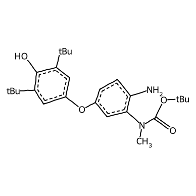 CN(C(=O)OC(C)(C)C)c1cc(Oc2cc(C(C)(C)C)c(O)c(C(C)(C)C)c2)ccc1N